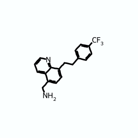 NCc1ccc(CCc2ccc(C(F)(F)F)cc2)c2ncccc12